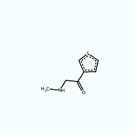 CNCC(=O)c1ccsc1